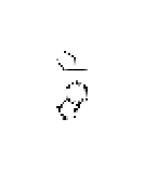 CCC(C)(CC)c1ccn2ccnc2c1